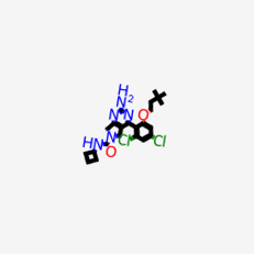 CC(C)(C)CCOc1cc(Cl)cc(Cl)c1-c1nc(N)nc2c1CN(C(=O)NC1CCC1)C2